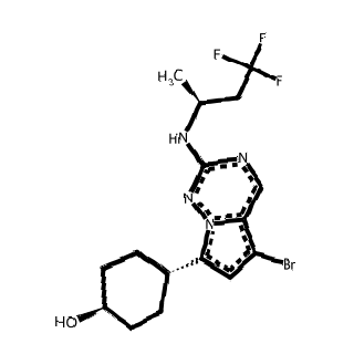 C[C@@H](CC(F)(F)F)Nc1ncc2c(Br)cc([C@H]3CC[C@H](O)CC3)n2n1